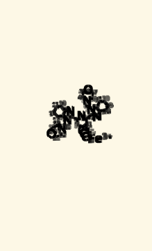 [Cl-].[Cl-].[Cl-].[Fe+3].c1cc(-c2nc3ccccc3n2CN2CCOCC2)nc(-c2nc3ccccc3n2CN2CCOCC2)c1